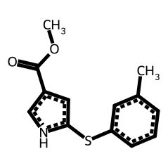 COC(=O)c1c[nH]c(Sc2cccc(C)c2)c1